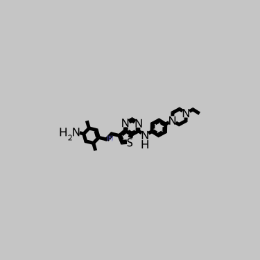 CCN1CCN(c2ccc(Nc3ncnc4c(/C=C/C5=CC(C)C(N)CC5C)csc34)cc2)CC1